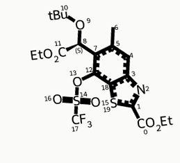 CCOC(=O)c1nc2cc(C)c([C@H](OC(C)(C)C)C(=O)OCC)c(OS(=O)(=O)C(F)(F)F)c2s1